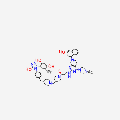 CC(=O)N1CCN(c2nc(NCCC(=O)N3CCC(CN4CCC(Cc5ccc(-n6c(O)nnc6-c6cc(C(C)C)c(O)cc6O)cc5)CC4)CC3)nc3c2CCN(c2cc(O)cc4ccccc24)C3)CC1